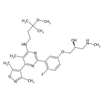 CNC[C@H](O)COc1ccc(F)c(-c2nc(NCCC(C)(C)OC)c(C)c(-c3c(C)noc3C)n2)c1